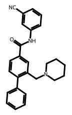 N#Cc1cccc(NC(=O)c2ccc(-c3ccccc3)c(CN3CCCCC3)c2)c1